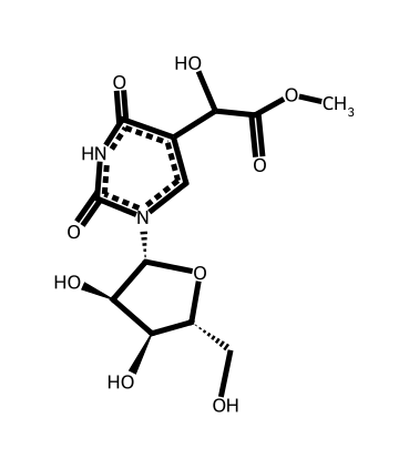 COC(=O)C(O)c1cn([C@@H]2O[C@H](CO)[C@@H](O)[C@H]2O)c(=O)[nH]c1=O